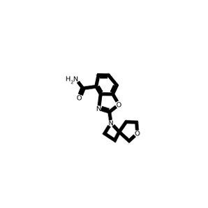 NC(=O)c1[c]ccc2oc(N3CCC34CCOC4)nc12